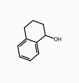 OC1CCCc2cc[c]cc21